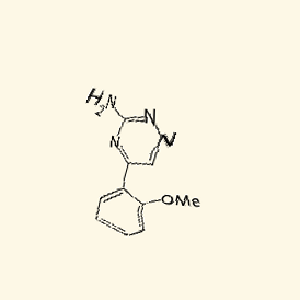 COc1ccccc1-c1cnnc(N)n1